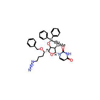 COC1C(O[Si](c2ccccc2)(c2ccccc2)C(C)(C)C)[C@@H](C(CCCN=[N+]=[N-])OCc2ccccc2)O[C@H]1n1ccc(=O)[nH]c1=O